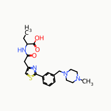 CCC(NC(=O)Cc1csc(-c2cccc(CN3CCN(C)CC3)c2)n1)C(=O)O